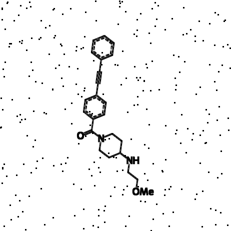 COCCNC1CCN(C(=O)c2ccc(C#Cc3ccccc3)cc2)CC1